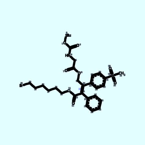 CC(C)(C)OC(=O)NCC(=O)OC/C(=C(\C(=O)OCCCCCCBr)c1ccccc1)c1ccc(S(C)(=O)=O)cc1